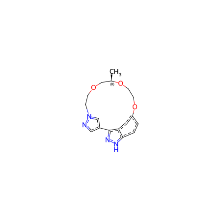 C[C@@H]1COCCn2cc(cn2)-c2n[nH]c3ccc(cc23)OCCO1